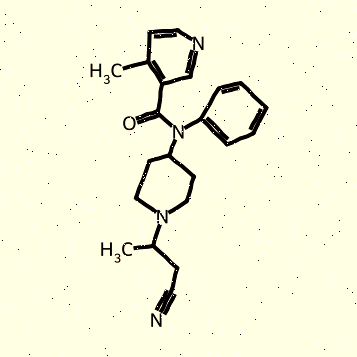 Cc1ccncc1C(=O)N(c1ccccc1)C1CCN(C(C)CC#N)CC1